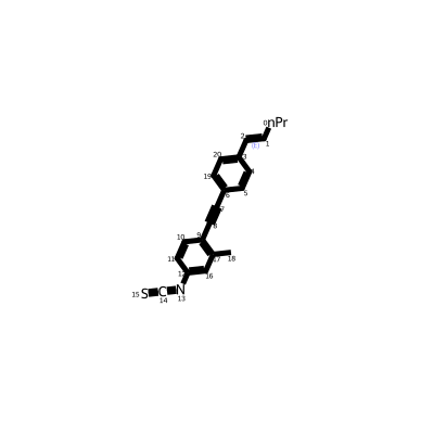 CCC/C=C/c1ccc(C#Cc2ccc(N=C=S)cc2C)cc1